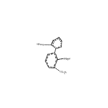 CCCCCCCc1c(C(=O)O)cccc1-c1ccccc1CCCCC